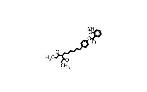 CCC(=O)C(CCCCCCc1ccc(OC(=O)c2ccccc2OC)cc1)C(=O)CC